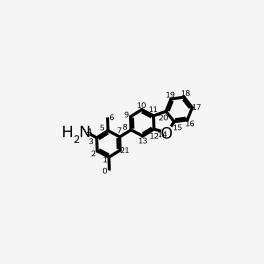 Cc1cc(N)c(C)c(-c2ccc3c(c2)oc2ccccc23)c1